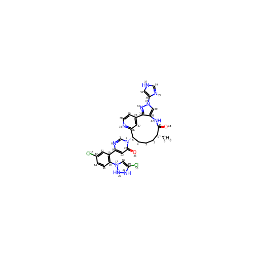 C[C@@H]1CCC[C@H](n2cnc(-c3cc(Cl)ccc3N3C=C(Cl)NN3)cc2=O)c2cc(ccn2)-c2nn(-c3c[nH]cn3)cc2NC1=O